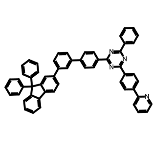 c1ccc(-c2nc(-c3ccc(-c4cccc(-c5ccc6c(c5)C(c5ccccc5)(c5ccccc5)c5ccccc5-6)c4)cc3)nc(-c3ccc(-c4ccccn4)cc3)n2)cc1